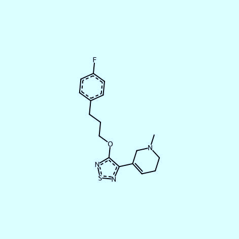 CN1CCC=C(c2nsnc2OCCCc2ccc(F)cc2)C1